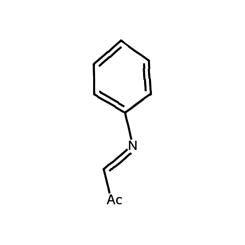 CC(=O)C=Nc1ccccc1